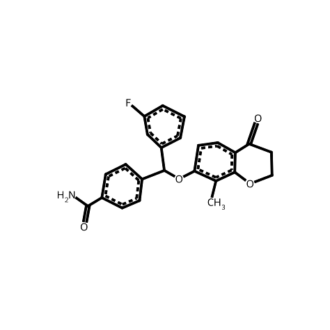 Cc1c(OC(c2ccc(C(N)=O)cc2)c2cccc(F)c2)ccc2c1OCCC2=O